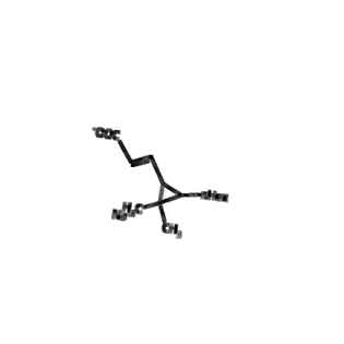 CCCCCCC1C(/C=C/C(=O)[O-])C1(C)C.[Na+]